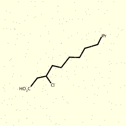 CC(C)CCCCCCC(Cl)CC(=O)O